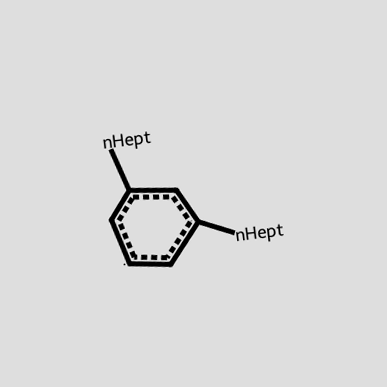 CCCCCCCc1c[c]cc(CCCCCCC)c1